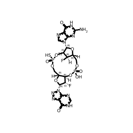 Nc1nc2c(ncn2[C@@H]2O[C@@H]3COP(=O)(O)O[C@H]4[C@H](F)[C@H](n5nnc6c(=O)[nH]cnc65)O[C@@H]4COP(=O)(S)O[C@@H]2[C@@H]3F)c(=O)[nH]1